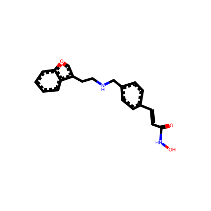 O=C(C=Cc1ccc(CNCCc2coc3ccccc23)cc1)NO